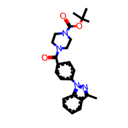 Cc1nn(-c2ccc(C(=O)N3CCN(C(=O)OC(C)(C)C)CC3)cc2)c2ccccc12